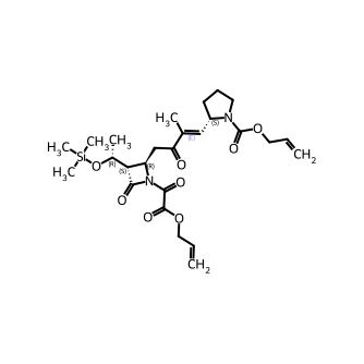 C=CCOC(=O)C(=O)N1C(=O)[C@H]([C@@H](C)O[Si](C)(C)C)[C@H]1CC(=O)/C(C)=C/[C@@H]1CCCN1C(=O)OCC=C